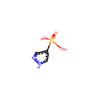 O=P(O)(O)c1cn[nH]c1